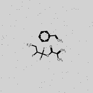 C=C(C)C(=O)OC(F)(F)C(F)CC(F)(F)F.C=Cc1ccccc1